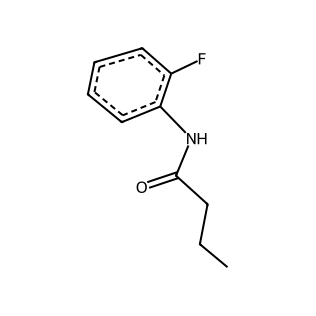 CCCC(=O)Nc1ccccc1F